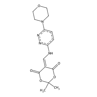 CC1(C)OC(=O)C(=CNc2ccc(N3CCOCC3)nn2)C(=O)O1